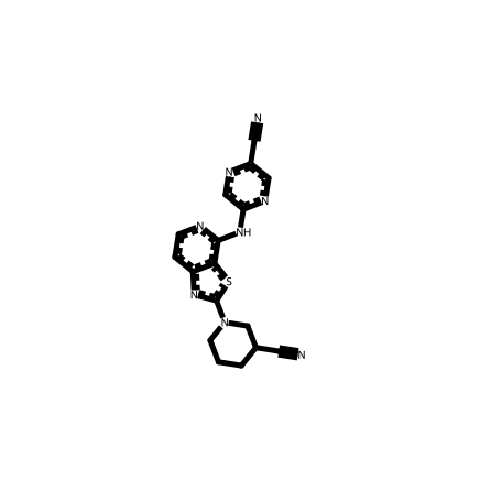 N#Cc1cnc(Nc2nccc3nc(N4CCCC(C#N)C4)sc23)cn1